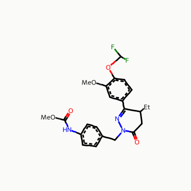 CCC1CC(=O)N(Cc2ccc(NC(=O)OC)cc2)N=C1c1ccc(OC(F)F)c(OC)c1